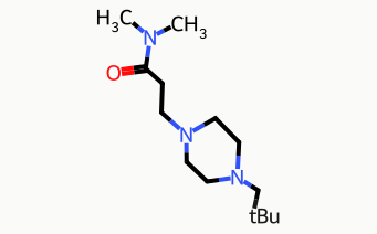 CN(C)C(=O)CCN1CCN(CC(C)(C)C)CC1